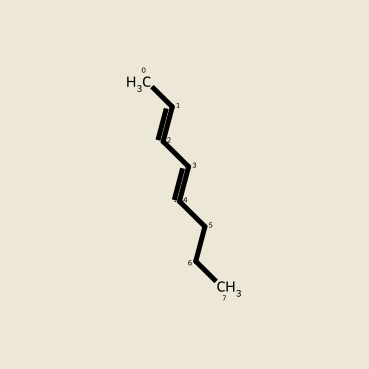 CC=C/C=[C]/CCC